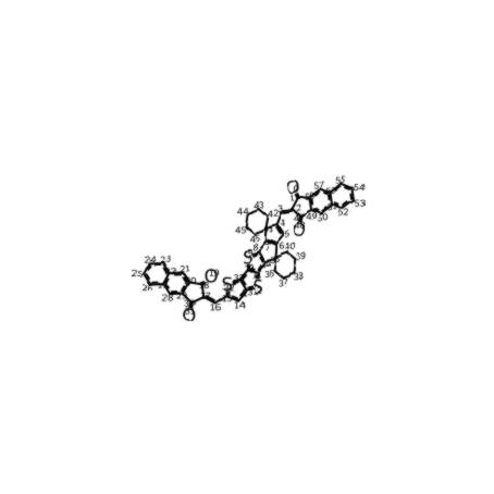 O=C1C(=CC2=CC3=C(c4sc5c(sc6cc(C=C7C(=O)c8cc9ccccc9cc8C7=O)sc65)c4C34CCCCC4)C23CCCCC3)C(=O)c2cc3ccccc3cc21